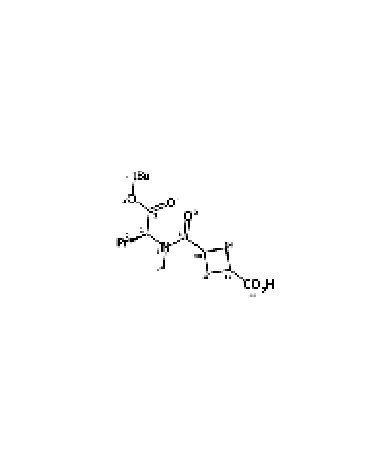 CC(C)[C@@H](C(=O)OC(C)(C)C)N(C)C(=O)C1CC(C(=O)O)C1